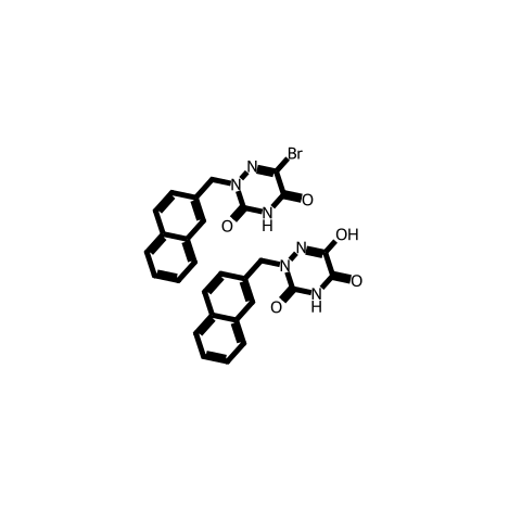 O=c1[nH]c(=O)n(Cc2ccc3ccccc3c2)nc1Br.O=c1[nH]c(=O)n(Cc2ccc3ccccc3c2)nc1O